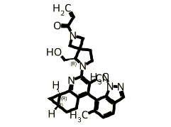 C=CC(=O)N1CC2(CCN(c3nc4c(c(-c5c(C)ccc6cnn(C)c56)c3C#N)CC[C@@H]3C[C@@H]43)[C@H]2CO)C1